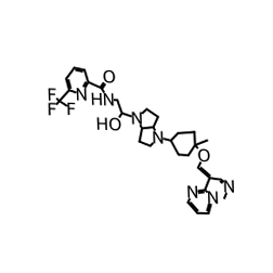 C/N=C\C(=C/OC1(C)CCC(N2CCC3C2CCN3C(O)CNC(=O)c2cccc(C(F)(F)F)n2)CC1)c1ncccn1